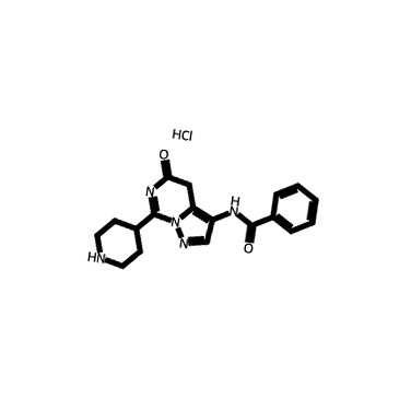 Cl.O=C1Cc2c(NC(=O)c3ccccc3)cnn2C(C2CCNCC2)=N1